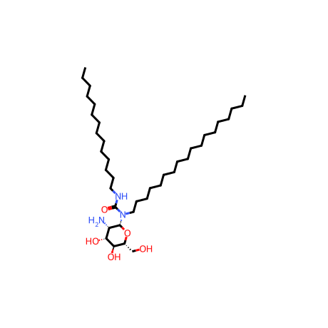 CCCCCCCCCCCCCCCCCCN(C(=O)NCCCCCCCCCCCCCC)[C@@H]1O[C@H](CO)[C@@H](O)[C@H](O)[C@@H]1N